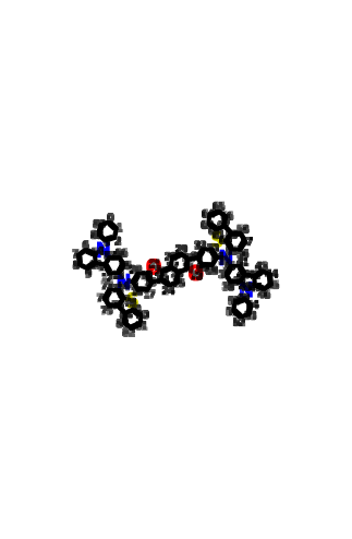 c1ccc(-n2c3ccccc3c3cc(N(c4ccc5c(c4)oc4c5ccc5c4ccc4c6ccc(N(c7ccc8c(c7)c7ccccc7n8-c7ccccc7)c7cccc8c7sc7ccccc78)cc6oc45)c4cccc5c4sc4ccccc45)ccc32)cc1